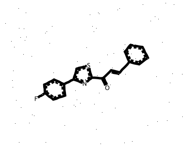 O=C(C=Cc1ccccc1)c1nc(-c2ccc(F)cc2)cs1